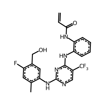 C=CC(=O)Nc1ccccc1Nc1nc(Nc2cc(CO)c(F)cc2C)ncc1C(F)(F)F